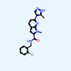 Cc1[nH]ncc1-c1ccc2cc(C(=O)NCc3ccccc3Cl)n(C)c2n1